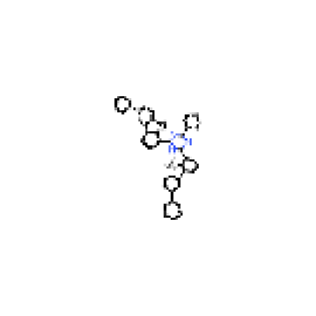 C[Si]1(C)c2ccc(-c3ccccc3)cc2-c2cccc(-c3nc(-c4ccccc4)nc(-c4cccc5c4[Si](C)(C)c4ccc(-c6ccccc6)cc4-5)n3)c21